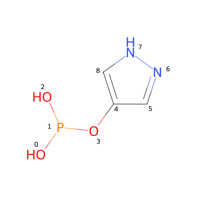 OP(O)Oc1cn[nH]c1